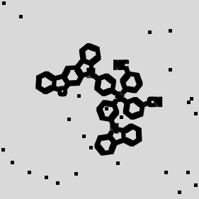 N#Cc1cccc([Si](c2ccc(-n3c4ccccc4c4cc5c(cc43)oc3ccccc35)cc2)(c2cccc(C#N)c2)c2cccc(-n3c4ccccc4c4ccccc43)c2)c1